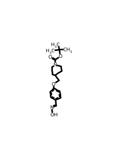 CC(C)(C)OC(=O)N1CCC(COc2ccc(C=NO)cc2)CC1